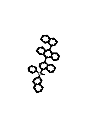 C[Si](c1ccccc1)(c1ccc2ccccc2c1)c1ccc(-c2c3ccccc3c(-c3cccc4ccccc34)c3ccccc23)c2ccccc12